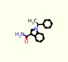 CC(c1ccccc1)n1cc(C(N)=O)c2ccccc21